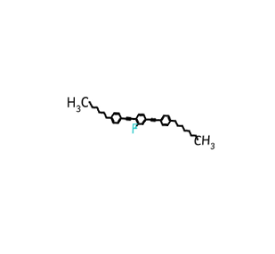 CCCCCCCCc1ccc(C#Cc2ccc(C#Cc3ccc(CCCCCCC)cc3)c(F)c2)cc1